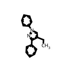 CCc1cn(-c2ccccc2)nc1-c1ccccc1